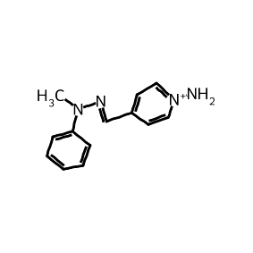 CN(/N=C/c1cc[n+](N)cc1)c1ccccc1